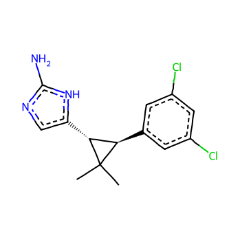 CC1(C)[C@H](c2cc(Cl)cc(Cl)c2)[C@H]1c1cnc(N)[nH]1